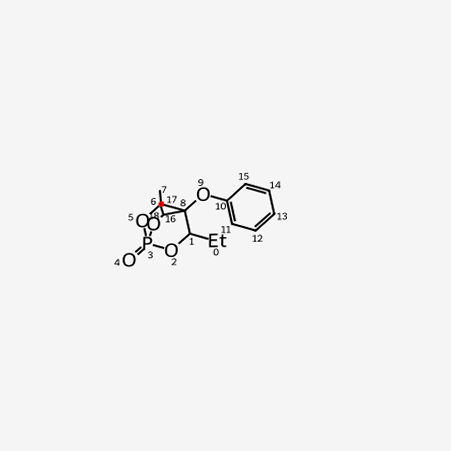 CCC1OP2(=O)OC(C)C1(Oc1ccccc1)C(C)O2